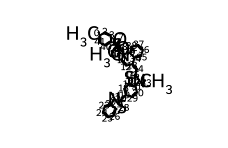 Cc1ccc(S(=O)(=O)O[N+]2(C)C=CC(=CC3Sc4cc(-c5nc6ccccc6s5)ccc4N3C)c3ccccc32)cc1